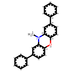 CN1c2cc(-c3ccccc3)ccc2Oc2ccc(-c3ccccc3)cc21